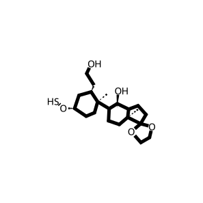 C[C@]12CCC([C@@]3(C)CC[C@H](OS)C[C@@H]3CCO)[C@@H](O)C1CCC21OCCO1